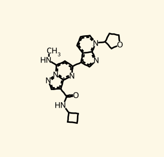 CNc1cc(-c2cnc3n(C4CCOC4)cccc2-3)nc2c(C(=O)NC3CCC3)cnn12